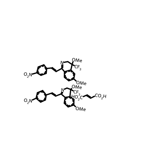 COc1ccc2c(c1)C(OC)(C(F)(F)F)CN=C2C=Cc1ccc([N+](=O)[O-])cc1.COc1ccc2c(c1)C(OC)(C(F)(F)F)CN=C2C=Cc1ccc([N+](=O)[O-])cc1.O=C(O)C=CC(=O)O